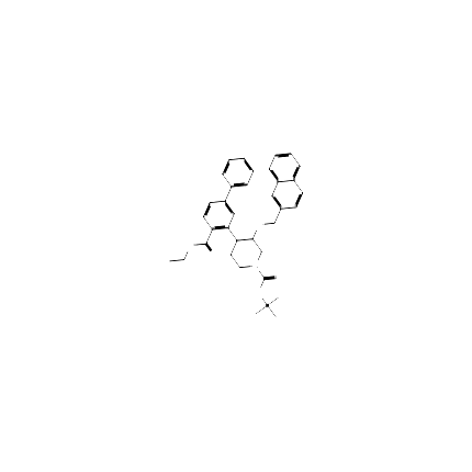 CCOC(=O)c1ccc(-c2ccccc2)cc1C1CCN(C(=O)OC(C)(C)C)CC1OCc1ccc2ccccc2c1